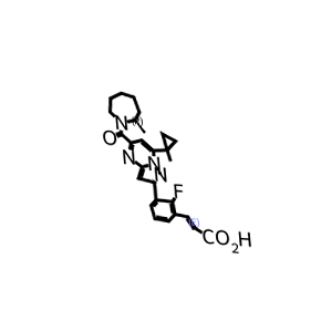 C[C@@H]1CCCCCN1C(=O)c1cc(C2(C)CC2)n2nc(-c3cccc(/C=C/C(=O)O)c3F)cc2n1